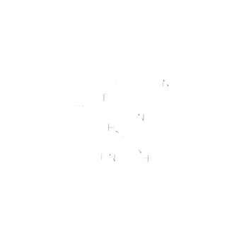 Cl.FC(F)(F)c1ccncc1N1CC[C@@H]2CNC[C@@H]2C1